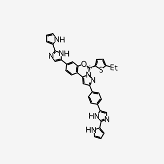 CCc1ccc([C@@H]2Oc3cc(-c4cnc(-c5ccc[nH]5)[nH]4)ccc3-c3cc(-c4ccc(-c5cnc(-c6ccc[nH]6)[nH]5)cc4)nn32)s1